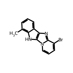 Cc1cccc2c1[nH]c1c2nc2c(Br)cccn21